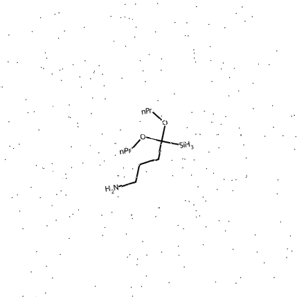 CCCOC([SiH3])(CCCN)OCCC